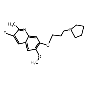 COc1cc2cc(F)c(C)nc2cc1OCCCN1CCCC1